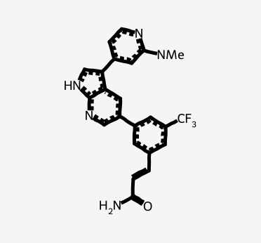 CNc1cc(-c2c[nH]c3ncc(-c4cc(C=CC(N)=O)cc(C(F)(F)F)c4)cc23)ccn1